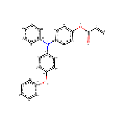 C=CC(=O)Oc1ccc(N(c2ccccc2)c2ccc(Oc3ccccc3)cc2)cc1